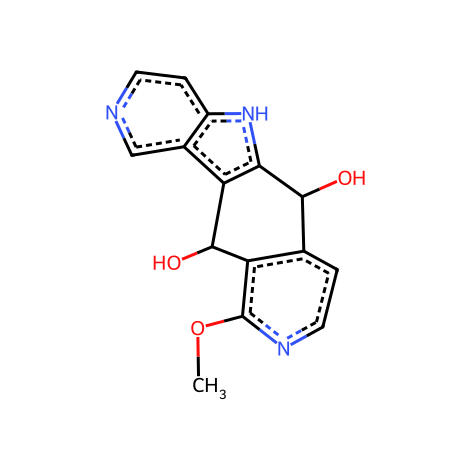 COc1nccc2c1C(O)c1c([nH]c3ccncc13)C2O